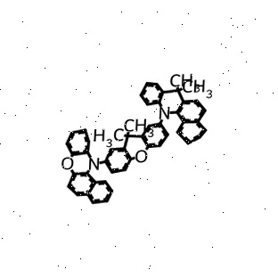 CC1(C)c2cc(N3c4ccccc4Oc4ccc5ccccc5c43)ccc2Oc2ccc(N3c4ccccc4C(C)(C)c4ccc5ccccc5c43)cc21